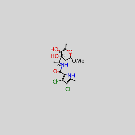 COC1C[C@@](O)([C@H](C)NC(=O)c2[nH]c(C)c(Cl)c2Cl)[C@H](O)[C@@H](C)O1